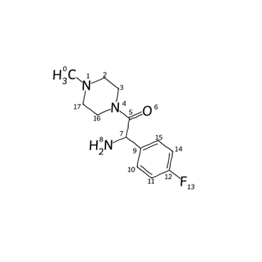 CN1CCN(C(=O)C(N)c2ccc(F)cc2)CC1